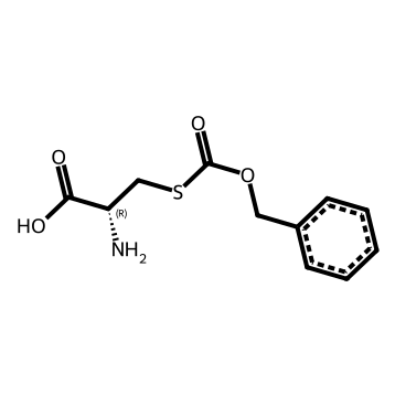 N[C@@H](CSC(=O)OCc1ccccc1)C(=O)O